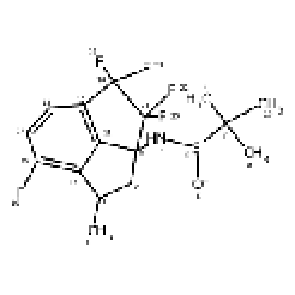 CC1CC2(N[S+]([O-])C(C)(C)C)c3c(ccc(F)c31)C(F)(F)C2(F)F